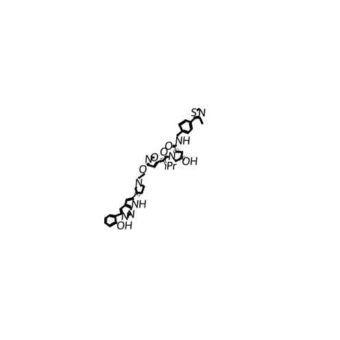 Cc1ncsc1-c1ccc(CNC(=O)[C@@H]2C[C@@H](O)CN2C(=O)[C@@H](c2cc(OCCN3CC[C@@H](c4cc5cc(-c6ccccc6O)nnc5[nH]4)C3)no2)C(C)C)cc1